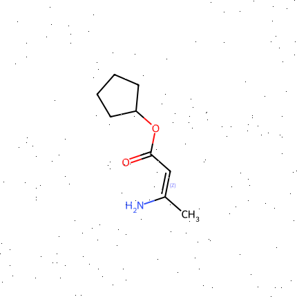 C/C(N)=C/C(=O)OC1CCCC1